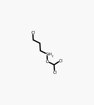 ClCCC[SiH2]OC(Cl)Cl